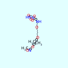 CC(=O)c1cc(COc2ccc(C(C)(C)c3ccc(OCCCCCCCCOCCCCNc4ccc5c(c4)C(=O)N(C4CCC(=O)NC4=O)C5=O)cc3)cc2)ccn1